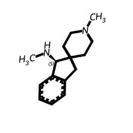 CN[C@@H]1c2ccccc2CC12CCN(C)CC2